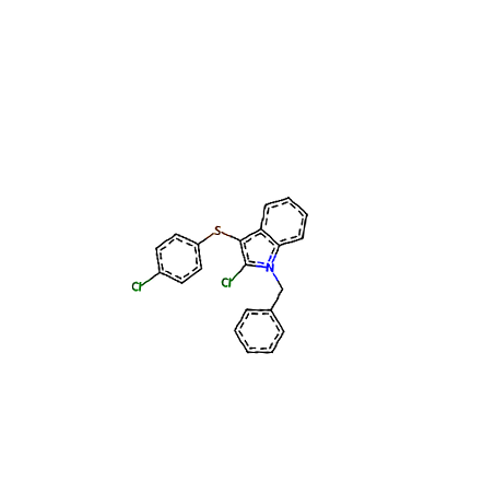 Clc1ccc(Sc2c(Cl)n(Cc3ccccc3)c3ccccc23)cc1